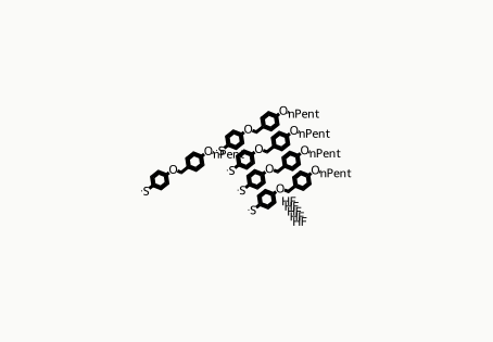 CCCCCOc1ccc(COc2ccc([S])cc2)cc1.CCCCCOc1ccc(COc2ccc([S])cc2)cc1.CCCCCOc1ccc(COc2ccc([S])cc2)cc1.CCCCCOc1ccc(COc2ccc([S])cc2)cc1.CCCCCOc1ccc(COc2ccc([S])cc2)cc1.F.F.F.F.F